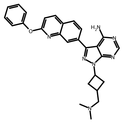 CN(C)CC1CC(n2nc(-c3ccc4ccc(Oc5ccccc5)nc4c3)c3c(N)ncnc32)C1